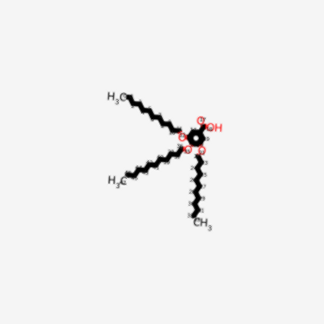 CCCCCCCCCCCCOc1cc(C(=O)O)cc(OCCCCCCCCCCCC)c1OCCCCCCCCCCCC